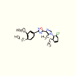 COc1cc(-c2noc(-c3ncn(-c4c(C)cccc4Cl)c3C)n2)ccc1C(=O)O